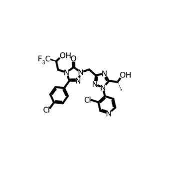 C[C@@H](O)c1nc(Cn2nc(-c3ccc(Cl)cc3)n(C[C@H](O)C(F)(F)F)c2=O)nn1-c1ccncc1Cl